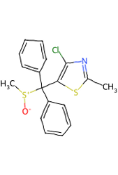 Cc1nc(Cl)c(C(c2ccccc2)(c2ccccc2)[S+](C)[O-])s1